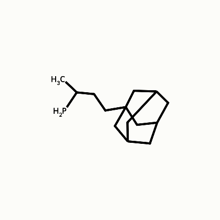 CC(P)CCC12CC3CC(CC(C3)C1)C2